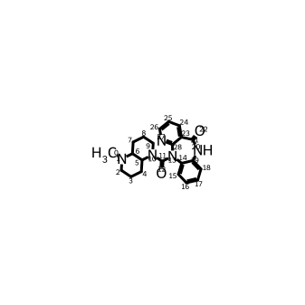 CN1CCCC2C1CCCN2C(=O)N1c2ccccc2NC(=O)c2cccnc21